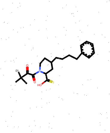 CCC(C)(C)C(=O)C(=O)N1CCC(CCCCc2ccccc2)CC1C(O)=S